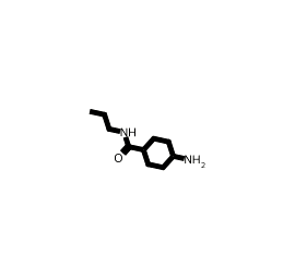 CCCNC(=O)C1CCC(N)CC1